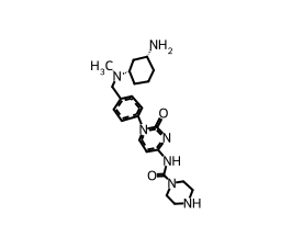 CN(Cc1ccc(-n2ccc(NC(=O)N3CCNCC3)nc2=O)cc1)[C@H]1CCC[C@@H](N)C1